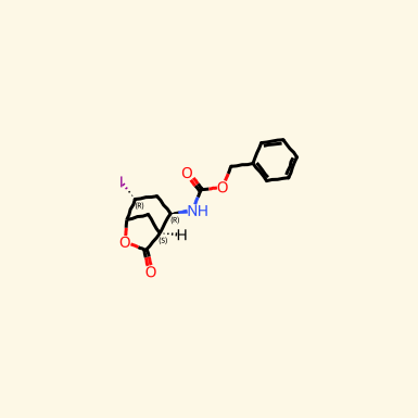 O=C(N[C@@H]1C[C@@H](I)C2C[C@@H]1C(=O)O2)OCc1ccccc1